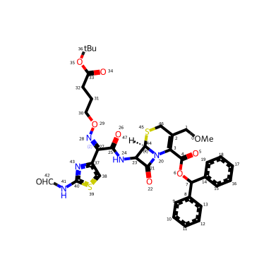 COCC1=C(C(=O)OC(c2ccccc2)c2ccccc2)N2C(=O)C(NC(=O)/C(=N\OCCCC(=O)OC(C)(C)C)c3csc(NC=O)n3)[C@H]2SC1